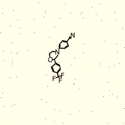 N#Cc1ccc(N2CCOC(c3ccc(C(F)(F)F)cc3)C2)cc1